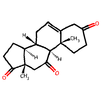 C[C@]12CCC(=O)CC1=CC[C@@H]1[C@@H]2C(=O)C[C@]2(C)C(=O)CC[C@@H]12